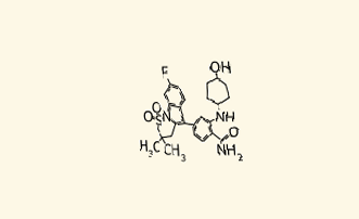 CC1(C)Cc2c(-c3ccc(C(N)=O)c(N[C@H]4CC[C@H](O)CC4)c3)c3ccc(F)cc3n2S(=O)(=O)C1